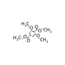 CCOC(=O)c1cc(OCC)c(C(=O)OCC)c(OCC)c1